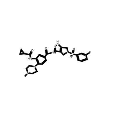 CN1CCN(c2ccc(C(=O)Nc3n[nH]c4c3CN(S(=O)(=O)c3cccc(F)c3)C4)cc2NC(=O)C2CC2)CC1